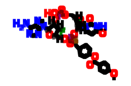 COc1ccc(C(=O)Oc2ccc(CSP3(=O)OC[C@H]4O[C@@H](n5cnc6c(N)ncnc65)[C@H](OP(=O)(O)OC[C@H]5O[C@@H](n6ccc(=O)[nH]c6=O)[C@H](O3)[C@H]5F)[C@H]4F)cc2)cc1